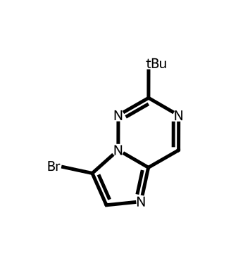 CC(C)(C)c1ncc2ncc(Br)n2n1